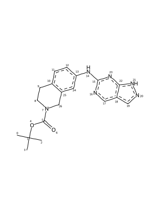 CC(C)(C)OC(=O)N1CCc2ccc(Nc3ncc4cn[nH]c4n3)cc2C1